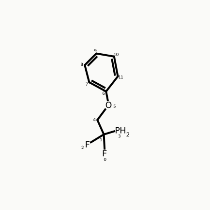 FC(F)(P)COc1ccccc1